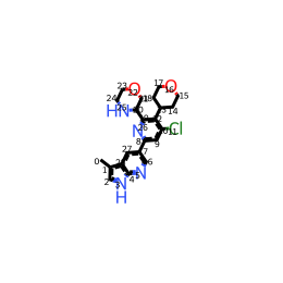 Cc1c[nH]c2ncc(-c3cc(Cl)c(C4CCOCC4)c(C4COCCN4)n3)cc12